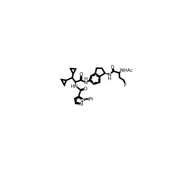 CC(=O)NC(CCF)C(=O)N[C@@H]1CCc2cc(NC(=O)[C@@H](NC(=O)c3ccnn3C(C)C)C(C3CC3)C3CC3)ccc21